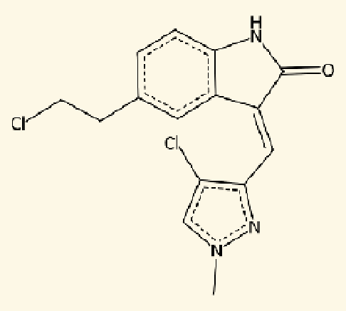 Cn1cc(Cl)c(C=C2C(=O)Nc3ccc(CCCl)cc32)n1